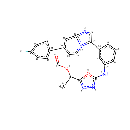 CC(OC=O)c1nnc(Nc2cccc(-c3cnc4cc(-c5ccc(F)cc5)ccn34)c2)o1